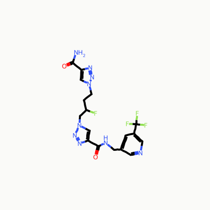 NC(=O)c1cn(CCC(F)Cn2cc(C(=O)NCc3cncc(C(F)(F)F)c3)nn2)nn1